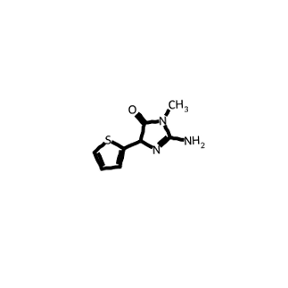 CN1C(=O)C(c2cccs2)N=C1N